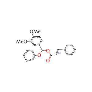 COc1ccc(C(OC(=O)/C=C/c2ccccc2)Oc2ccccc2)cc1OC